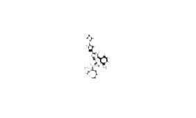 O=C1NCCCC[C@H]1Nc1nc2c(Br)cccc2c2nc(-c3cnn(C4CCC4)c3)nn12